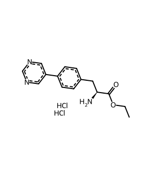 CCOC(=O)[C@@H](N)Cc1ccc(-c2cncnc2)cc1.Cl.Cl